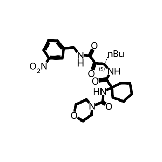 CCCC[C@H](NC(=O)C1(NC(=O)N2CCOCC2)CCCCC1)C(=O)C(=O)NCc1cccc([N+](=O)[O-])c1